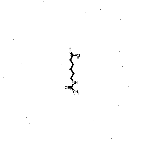 CC(=O)NCCCCCC(=O)Cl